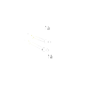 [Ni].[Ni].[S]=[Co].[S]=[Co]